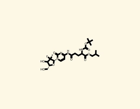 CC(C)COC(=O)C(CCC(=O)Nc1ccn([C@@H]2O[C@H](CO)C(O)C2(F)F)c(=O)n1)NC(=O)OC(C)(C)C